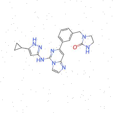 O=C1NCCN1Cc1cccc(-c2cc3nccn3c(Nc3cc(C4CC4)[nH]n3)n2)c1